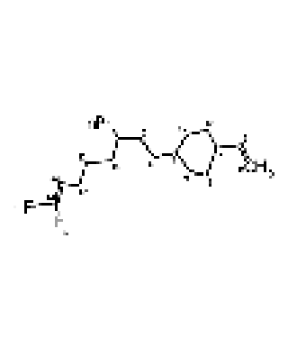 C=CC1CCC(CCC(CCC)CCCC=C(F)F)CC1